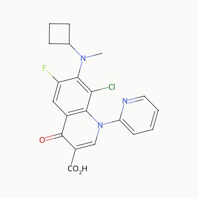 CN(c1c(F)cc2c(=O)c(C(=O)O)cn(-c3ccccn3)c2c1Cl)C1CCC1